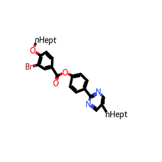 CCCCCCCOc1ccc(C(=O)Oc2ccc(-c3ncc(CCCCCCC)cn3)cc2)cc1Br